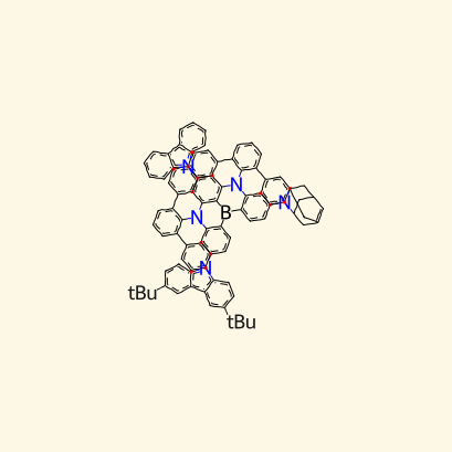 CC(C)(C)c1ccc2c(c1)c1cc(C(C)(C)C)ccc1n2-c1ccc2c(c1)N(c1c(-c3ccccc3)cccc1-c1ccccc1)c1cc(-n3c4ccccc4c4ccccc43)cc3c1B2c1ccc(N2C4CC5=CC(C4)CC2C5)cc1N3c1c(-c2ccccc2)cccc1-c1ccccc1